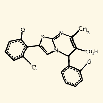 CC1=C(C(=O)O)C(c2ccccc2Cl)N2C=C(c3c(Cl)cccc3Cl)SC2=N1